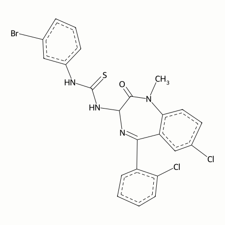 CN1C(=O)C(NC(=S)Nc2cccc(Br)c2)N=C(c2ccccc2Cl)c2cc(Cl)ccc21